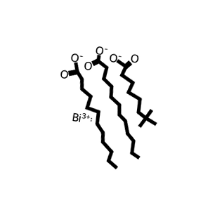 CC(C)(C)CCCCCC(=O)[O-].CCCCCCCCCCCC(=O)[O-].CCCCCCCCCCCC(=O)[O-].[Bi+3]